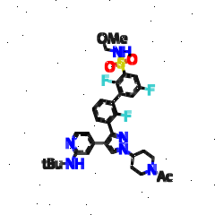 COCNS(=O)(=O)c1cc(F)cc(-c2cccc(-c3nn(C4CCN(C(C)=O)CC4)cc3-c3ccnc(NC(C)(C)C)c3)c2F)c1F